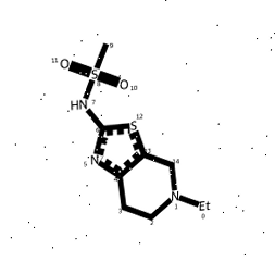 CCN1CCc2nc(NS(C)(=O)=O)sc2C1